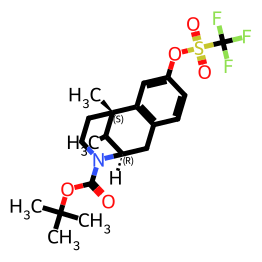 CC1[C@H]2Cc3ccc(OS(=O)(=O)C(F)(F)F)cc3[C@@]1(C)CCN2C(=O)OC(C)(C)C